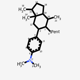 CCCC(C)C1C(c2ccc(N(C)C)cc2)CC2(C)C(C)CCC2C1C